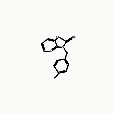 Cc1ccc(Cn2c(=N)[nH]c3cccnc32)cc1